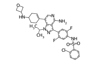 CC(C)n1nc(-c2cc(F)c(NS(=O)(=O)c3ccccc3Cl)cc2F)c2c(N)ncc(C3=CCC(NC4COC4)CC3)c21